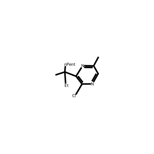 CCCCCC(C)(CC)c1nc(C)cnc1Cl